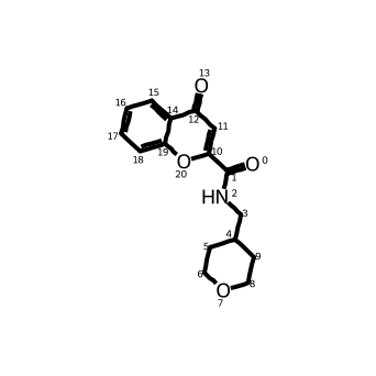 O=C(NCC1CCOCC1)c1cc(=O)c2ccccc2o1